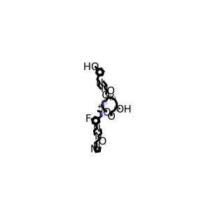 C/C(=C\c1cc(F)cc(N2CCN(C(=O)Cn3cccn3)CC2)c1)[C@H]1OC(=O)C[C@H](O)CC[C@H](C)[C@@H](OC(=O)N2CCN(Cc3cccc(O)c3)CC2)/C=C/[C@@H]1C